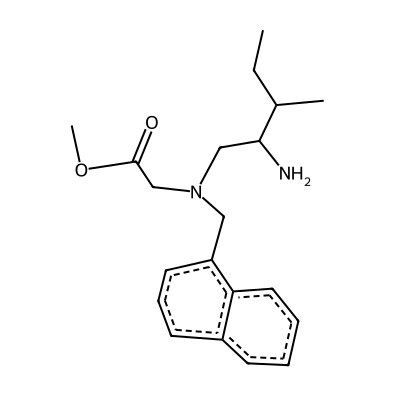 CCC(C)C(N)CN(CC(=O)OC)Cc1cccc2ccccc12